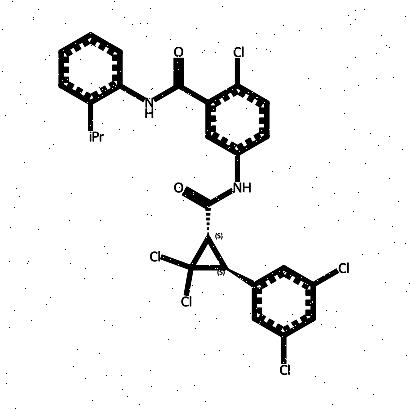 CC(C)c1ccccc1NC(=O)c1cc(NC(=O)[C@@H]2[C@@H](c3cc(Cl)cc(Cl)c3)C2(Cl)Cl)ccc1Cl